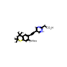 CCCCCCc1cc2c(cc1C#Cc1cnc(CC(=O)O)nc1)C(C)(C)CC(C)(C)S2